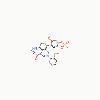 COc1ccccc1NCc1c(-c2ccc(OS(C)(=O)=O)cc2OC)ccc2c1N(C)C(=O)C(C)(C)N2